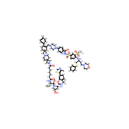 Cc1ncsc1-c1ccc([C@H](C)NC(=O)[C@@H]2C[C@@H](O)CN2C(=O)[C@@H](NC(=O)CCCCCC(=O)N2CC3(CCN(CC4(C)CCC(c5ccc(Cl)cc5)=C(CN5CCN(c6ccc(C(=O)NS(=O)(=O)c7ccc(NC(CCN8CCOCC8)CSc8ccccc8)c(S(=O)(=O)C(F)(F)F)c7)cc6)CC5)C4)CC3)C2)C(C)(C)C)cc1